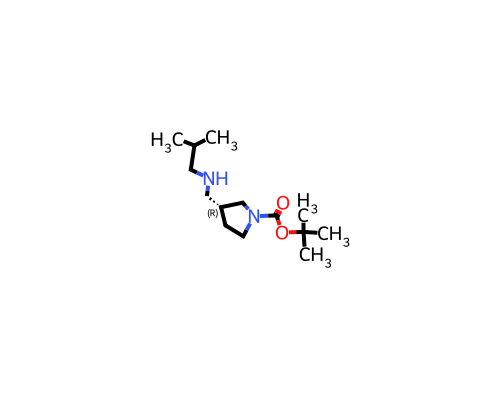 CC(C)CNC[C@H]1CCN(C(=O)OC(C)(C)C)C1